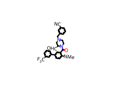 CNc1ccc(-c2cccc(C(F)(F)F)c2)cc1C(=O)N1CCN(Cc2cccc(C#N)c2)CC1C=O